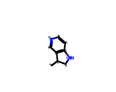 CC1CNc2ccncc21